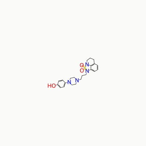 O=S1(=O)N(CCCN2CCN(c3ccc(O)cc3)CC2)c2cccc3c2N1CCC3